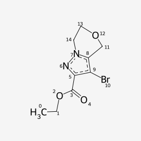 CCOC(=O)c1nn2c(c1Br)COCC2